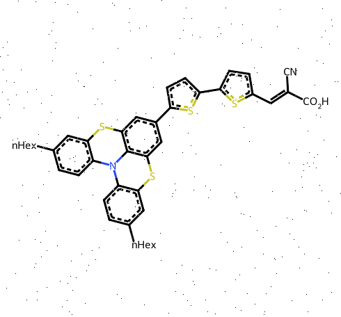 CCCCCCc1ccc2c(c1)Sc1cc(-c3ccc(-c4ccc(/C=C(\C#N)C(=O)O)s4)s3)cc3c1N2c1ccc(CCCCCC)cc1S3